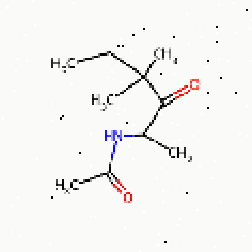 CCC(C)(C)C(=O)C(C)NC(C)=O